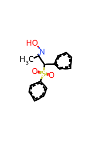 CC(=NO)C(c1ccccc1)S(=O)(=O)c1ccccc1